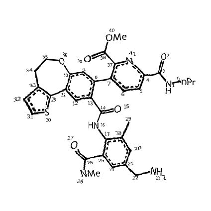 CCCNC(=O)c1ccc(-c2cc3c(cc2C(=O)Nc2c(C)cc(CN)cc2C(=O)NC)-c2sccc2CCO3)c(C(=O)OC)n1